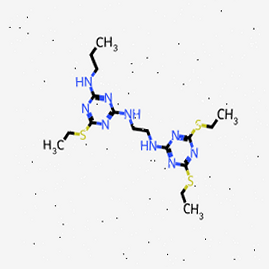 CCCNc1nc(NCCNc2nc(SCC)nc(SCC)n2)nc(SCC)n1